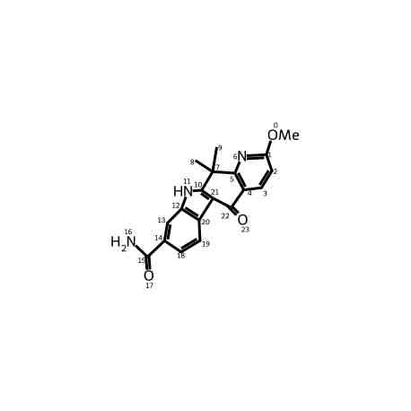 COc1ccc2c(n1)C(C)(C)c1[nH]c3cc(C(N)=O)ccc3c1C2=O